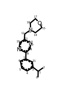 CC(C)c1cccc(-c2cnc(CN3CCOCC3)cn2)c1